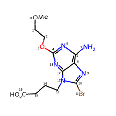 COCCOc1nc(N)c2nc(Br)n(CCCC(=O)O)c2n1